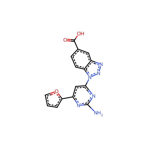 Nc1nc(-c2ccco2)cc(-n2nnc3cc(C(=O)O)ccc32)n1